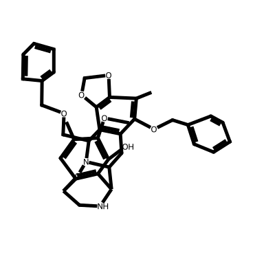 COc1c(C)cc2c(c1O)C1NCC2CN2C(COCc3ccccc3)c3c(c(OCc4ccccc4)c(C)c4c3OCO4)CC12